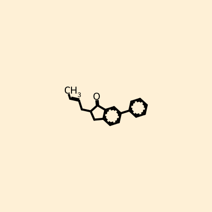 CC=CCC1Cc2ccc(-c3ccccc3)cc2C1=O